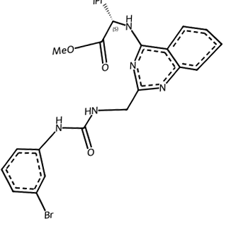 COC(=O)[C@@H](Nc1nc(CNC(=O)Nc2cccc(Br)c2)nc2ccccc12)C(C)C